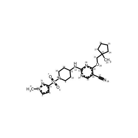 Cn1ccc(S(=O)(=O)N2CCC(Nc3ncc(C#N)c(OCC4(C)CCCC4)n3)CC2)n1